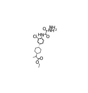 CCOC(=O)C(C)[C@H]1CC[C@H](c2ccc(NC(=O)C(=O)NN)c(Cl)c2)CC1